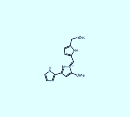 CCCCCCCCCCCc1ccc(/C=C2\N=C(c3ccc[nH]3)C=C2OC)[nH]1